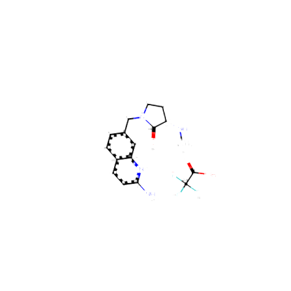 CN[C@H]1CCN(Cc2ccc3ccc(N)nc3c2)C1=O.O=C(O)C(F)(F)F